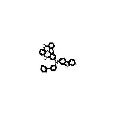 c1ccc(-c2cccc(N(c3ccc4c(c3)sc3ccccc34)c3cc4c5c(c3)c3cccc6c3n5-c3c(cccc3O4)O6)c2)cc1